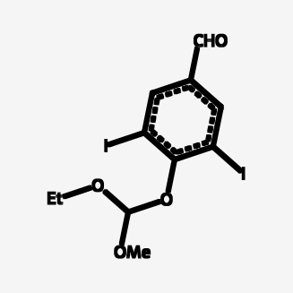 CCOC(OC)Oc1c(I)cc(C=O)cc1I